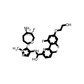 Cn1ncc(NC(O)c2ccc(F)c(-c3c(F)cc(OCCO)cc3F)n2)c1[C@@H]1CC[C@@H](N)[C@H](F)CO1